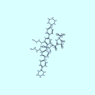 CCCCc1cc(-c2ccc(C3CCCCC3)cc2)ccc1C(O)(c1ccc(-c2ccc(C3CCCCC3)cc2)cc1CCCC)[C@H](C)OC(=O)N1CC(C(=O)O)NC1=O